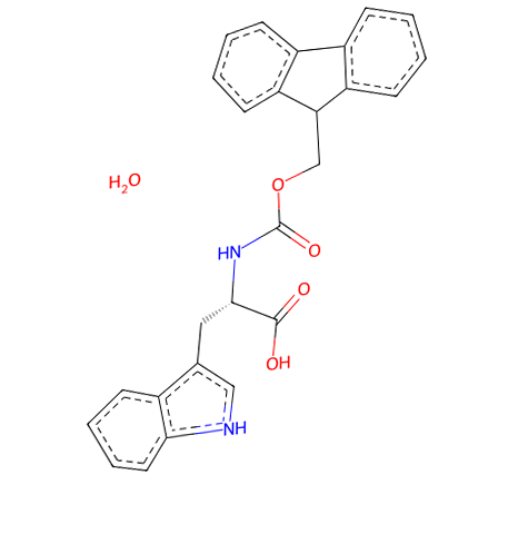 O.O=C(N[C@@H](Cc1c[nH]c2ccccc12)C(=O)O)OCC1c2ccccc2-c2ccccc21